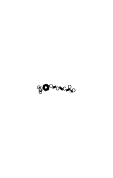 O=NC(=O)COCCOCCOc1ccc([N+](=O)[O-])cc1